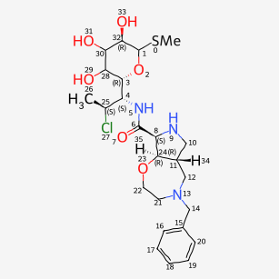 CSC1O[C@H]([C@H](NC(=O)[C@H]2NC[C@@H]3CN(Cc4ccccc4)CCO[C@H]32)[C@H](C)Cl)C(O)C(O)[C@H]1O